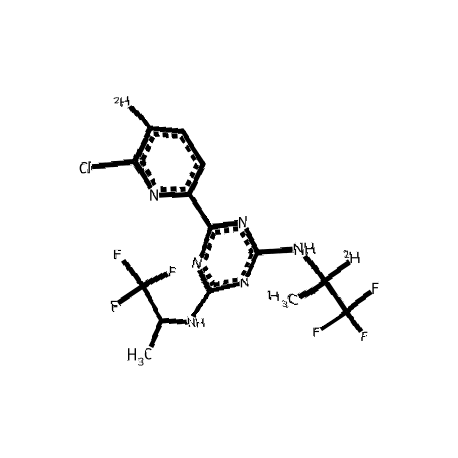 [2H]c1ccc(-c2nc(NC(C)C(F)(F)F)nc(NC([2H])(C)C(F)(F)F)n2)nc1Cl